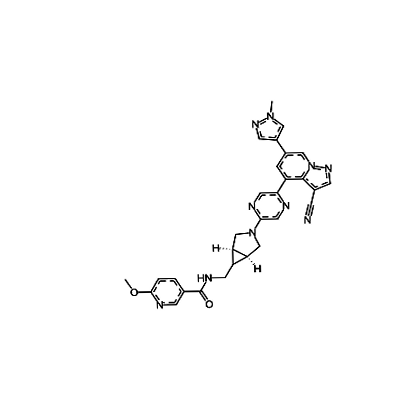 COc1ccc(C(=O)NCC2[C@H]3CN(c4cnc(-c5cc(-c6cnn(C)c6)cn6ncc(C#N)c56)cn4)C[C@@H]23)cn1